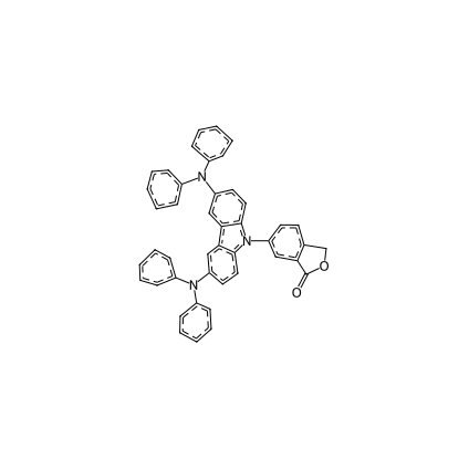 O=C1OCc2ccc(-n3c4ccc(N(c5ccccc5)c5ccccc5)cc4c4cc(N(c5ccccc5)c5ccccc5)ccc43)cc21